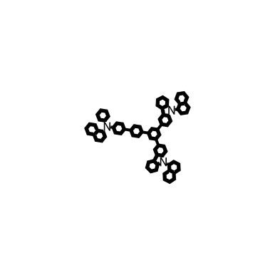 c1ccc(N(c2ccc(-c3ccc(-c4cc(-c5ccc6c(c5)c5ccccc5n6-c5cccc6ccccc56)cc(-c5ccc6c(c5)c5ccccc5n6-c5cccc6ccccc56)c4)cc3)cc2)c2cccc3ccccc23)cc1